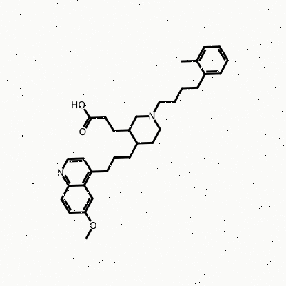 COc1ccc2nccc(CCCC3CCN(CCCCc4ccccc4C)CC3CCC(=O)O)c2c1